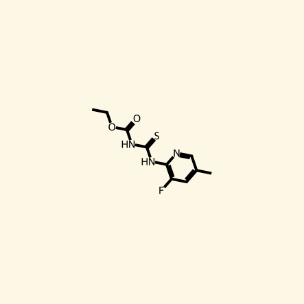 CCOC(=O)NC(=S)Nc1ncc(C)cc1F